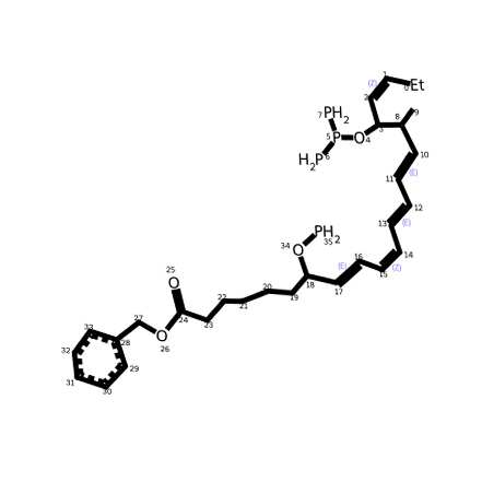 CC/C=C\C(OP(P)P)C(C)/C=C/C=C/C=C\C=C\C(CCCCCC(=O)OCc1ccccc1)OP